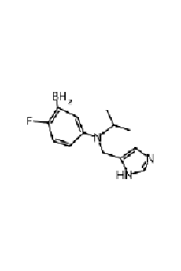 Bc1cc(N(Cc2cnc[nH]2)C(C)C)ccc1F